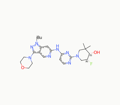 CCC(C)n1nc(N2CCOCC2)c2cnc(Nc3ccnc(N4C[C@@H](F)[C@@H](O)C(C)(C)C4)n3)cc21